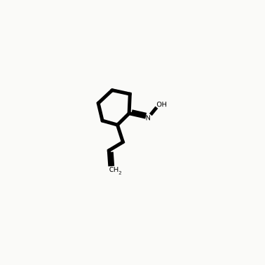 C=CCC1CCCCC1=NO